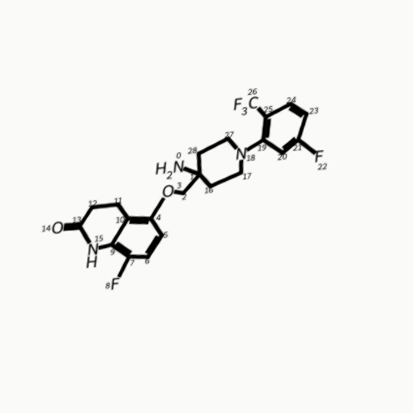 NC1(COc2ccc(F)c3c2CCC(=O)N3)CCN(c2cc(F)ccc2C(F)(F)F)CC1